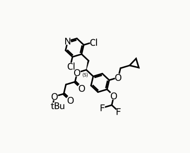 CC(C)(C)OC(=O)CC(=O)O[C@@H](Cc1c(Cl)cncc1Cl)c1ccc(OC(F)F)c(OCC2CC2)c1